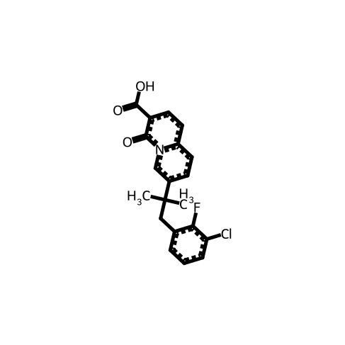 CC(C)(Cc1cccc(Cl)c1F)c1ccc2ccc(C(=O)O)c(=O)n2c1